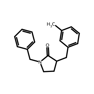 Cc1cccc(CC2CCN(Cc3ccccc3)C2=O)c1